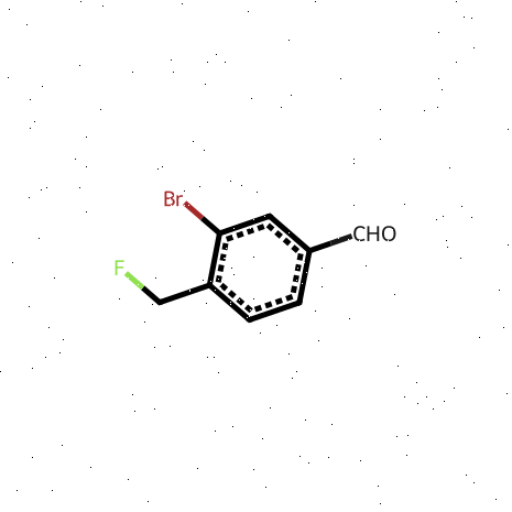 O=Cc1ccc(CF)c(Br)c1